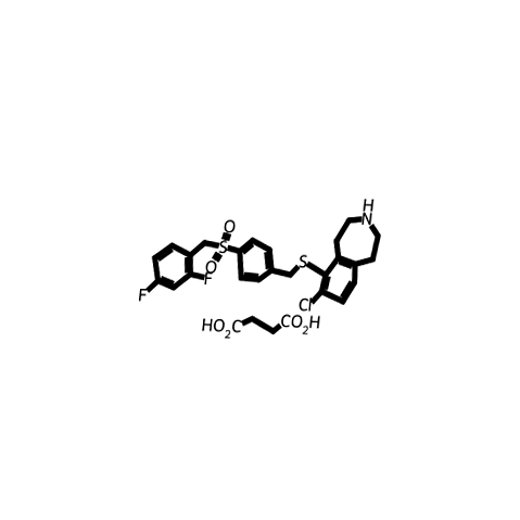 O=C(O)CCC(=O)O.O=S(=O)(Cc1ccc(F)cc1F)c1ccc(CSc2c(Cl)ccc3c2CCNCC3)cc1